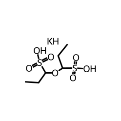 CCC(OC(CC)S(=O)(=O)O)S(=O)(=O)O.[KH]